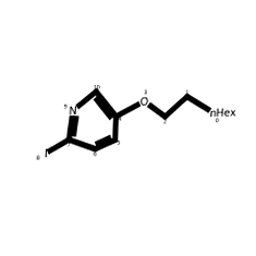 CCCCCCCCOc1ccc(I)nc1